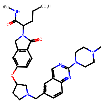 CN1CCN(c2ncc3cc(CN4CCC(Oc5ccc6c(c5)CN(C(CCC(=O)O)C(=O)NC(C)(C)C)C6=O)C4)ccc3n2)CC1